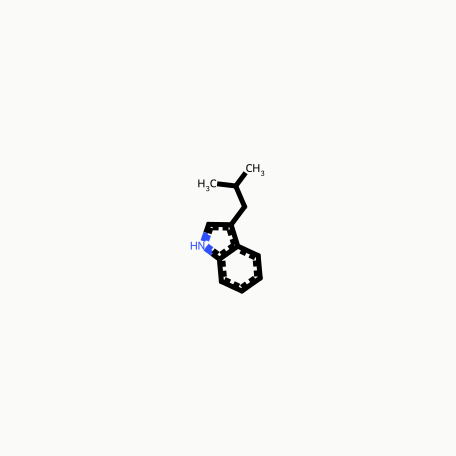 CC(C)Cc1c[nH]c2ccccc12